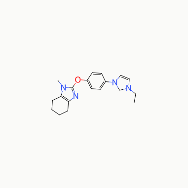 CCN1C=CN(c2ccc(Oc3nc4c(n3C)CCCC4)cc2)C1